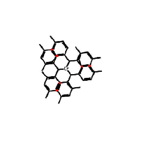 Cc1ccc([CH](c2ccc(C)cc2C)[Cr]([CH](c2ccc(C)cc2C)c2ccc(C)cc2C)[CH](c2ccc(C)cc2C)c2ccc(C)cc2C)c(C)c1